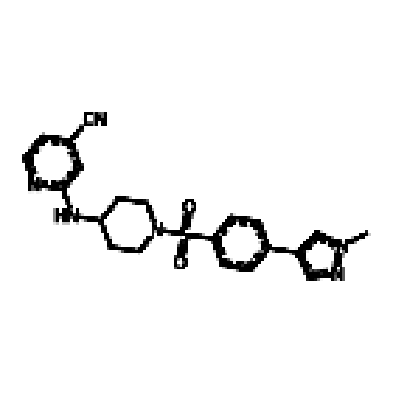 Cn1cc(-c2ccc(S(=O)(=O)N3CCC(Nc4cc(C#N)ccn4)CC3)cc2)cn1